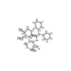 CCC(C)/C=N\C1=C(C)CN(C(c2ccccc2)c2ccccc2)n2ccc(=O)c(O)c21